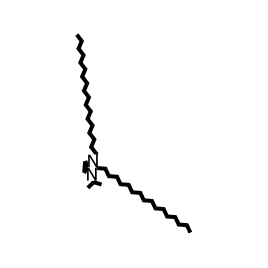 CCCCCCCCCCCCCCCCCCN1C=CN(C(C)C)C1CCCCCCCCCCCCCCCC